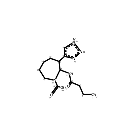 CCCC(=O)NC1C(c2c[nH]nn2)CCCCN1C(=O)O